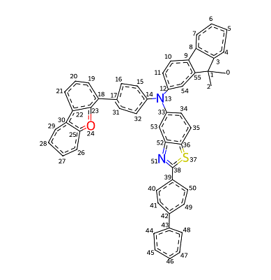 CC1(C)c2ccccc2-c2ccc(N(c3ccc(-c4cccc5c4oc4ccccc45)cc3)c3ccc4sc(-c5ccc(-c6ccccc6)cc5)nc4c3)cc21